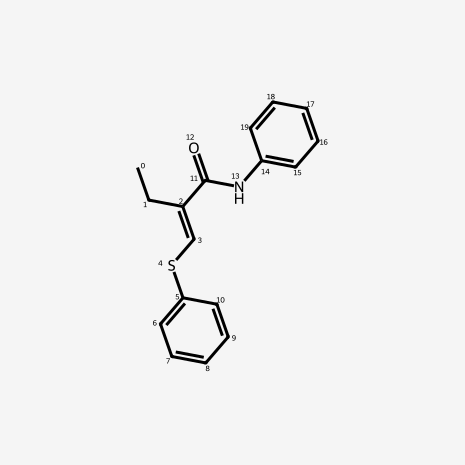 CC/C(=C\Sc1ccccc1)C(=O)Nc1ccccc1